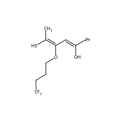 C/C(S)=C(\C=C(O)C(C)C)OCCCC(F)(F)F